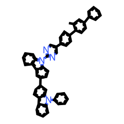 Cc1cc(-c2ccccc2)ccc1-c1ccc(-c2cnc(-n3c4ccccc4c4cc(-c5ccc6c7ccccc7n(-c7ccccc7)c6c5)ccc43)nc2)cc1